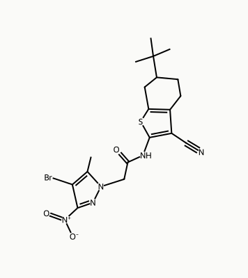 Cc1c(Br)c([N+](=O)[O-])nn1CC(=O)Nc1sc2c(c1C#N)CCC(C(C)(C)C)C2